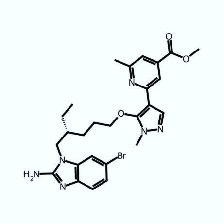 CC[C@H](CCCOc1c(-c2cc(C(=O)OC)cc(C)n2)cnn1C)Cn1c(N)nc2ccc(Br)cc21